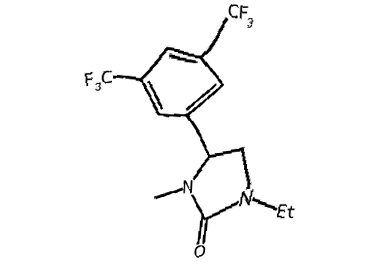 CCN1CC(c2cc(C(F)(F)F)cc(C(F)(F)F)c2)N(C)C1=O